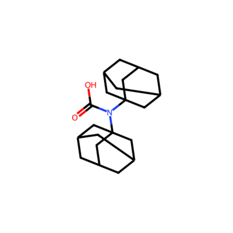 O=C(O)N(C12CC3CC(CC(C3)C1)C2)C12CC3CC(CC(C3)C1)C2